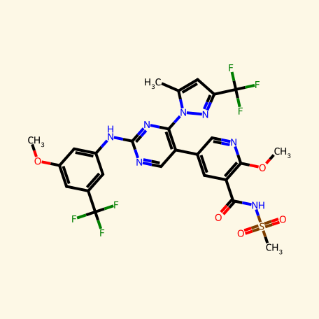 COc1cc(Nc2ncc(-c3cnc(OC)c(C(=O)NS(C)(=O)=O)c3)c(-n3nc(C(F)(F)F)cc3C)n2)cc(C(F)(F)F)c1